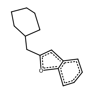 c1ccc2oc(CC3CCCCC3)cc2c1